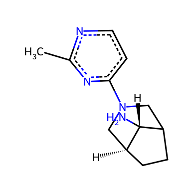 Cc1nccc(N2CC3CC[C@@H](C2)[C@@H]3N)n1